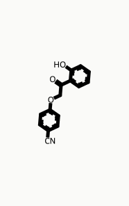 N#Cc1ccc(OCC(=O)c2ccccc2O)cc1